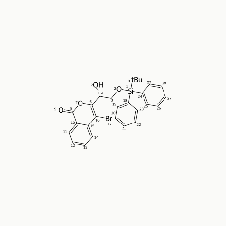 CC(C)(C)[Si](OC[C@@H](O)c1oc(=O)c2ccccc2c1Br)(c1ccccc1)c1ccccc1